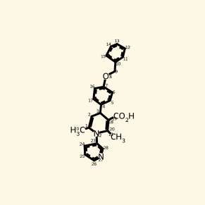 CC1=CC(c2ccc(OCc3ccccc3)cc2)C(C(=O)O)=C(C)N1c1cccnc1